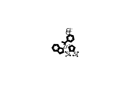 C/[C](c1ccccc1)=[Zr+2](/[C]1=C([Si](C)(C)C)C([Si](C)(C)C)=CC1)[CH]1C=Cc2ccccc21.[Cl-].[Cl-]